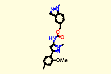 COc1cc(C)ccc1-c1cc(NC(=O)OCc2ccc3c(cnn3C)c2)n(C)n1